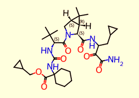 CC(C)(C)[C@H](NC(=O)NC1(C(=O)OCC2CC2)CCCCC1)C(=O)N1C[C@H]2[C@@H]([C@H]1C(=O)NC(CC1CC1)C(=O)C(N)=O)C2(C)C